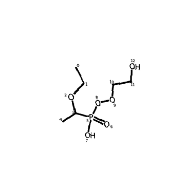 CCOC(C)P(=O)(O)OOCCO